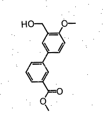 COC(=O)c1cccc(-c2ccc(OC)c(CO)c2)c1